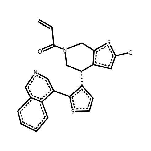 C=CC(=O)N1Cc2sc(Cl)cc2[C@H](c2ccsc2-c2cncc3ccccc23)C1